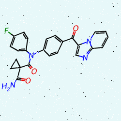 NC(=O)C1(C(=O)N(c2ccc(F)cc2)c2ccc(C(=O)c3cnc4ccccn34)cc2)CC1